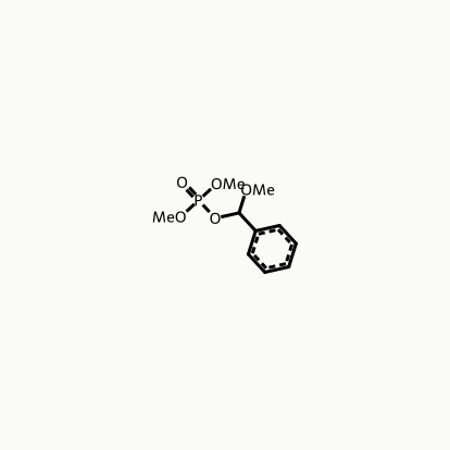 COC(OP(=O)(OC)OC)c1ccccc1